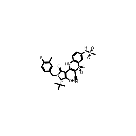 Cc1cc(CN2C(=O)C(C3=C(C#N)S(=O)(=O)c4cc(NS(C)(=O)=O)ccc4N3)=C(O)[C@@H]2C(C)(C)C)ccc1F